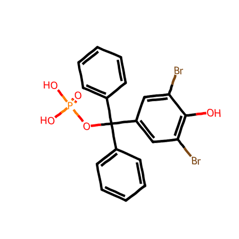 O=P(O)(O)OC(c1ccccc1)(c1ccccc1)c1cc(Br)c(O)c(Br)c1